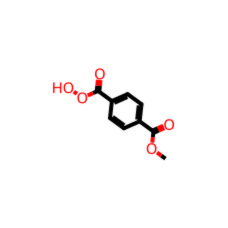 COC(=O)c1ccc(C(=O)OO)cc1